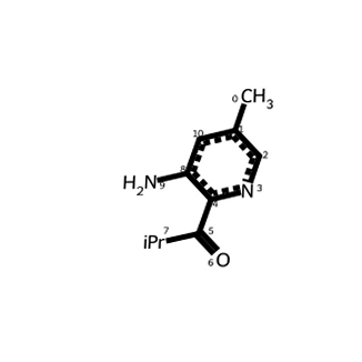 Cc1cnc(C(=O)C(C)C)c(N)c1